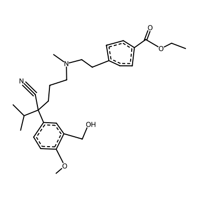 CCOC(=O)c1ccc(CCN(C)CCCC(C#N)(c2ccc(OC)c(CO)c2)C(C)C)cc1